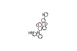 C1=CCC(C2=CC3=C(CC2)C2(C4=CCCCC4OC4CC(n5c6c(c7ccccc75)C=CNC6)C=CC42)c2ccccc2O3)N=C1